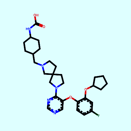 O=C(O)NC1CCC(CN2CCC3(CCN(c4ncncc4Oc4ccc(F)cc4OC4CCCC4)C3)C2)CC1